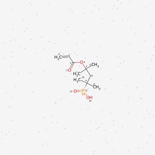 C=CC(=O)OC(C)(C)CC(C)(C)[PH](=O)O